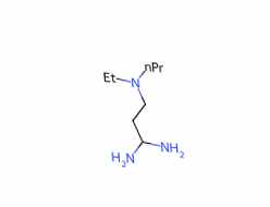 CCCN(CC)CCC(N)N